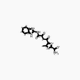 Cc1nc(C(N)=O)oc1C(=O)CC(=O)C(=O)Nc1nc2ccccc2[nH]1